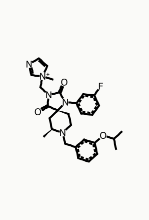 CC(C)Oc1cccc(CN2CC[C@@]3(C[C@@H]2C)C(=O)N(C[N+]2(C)C=CN=C2)C(=O)N3c2cccc(F)c2)c1